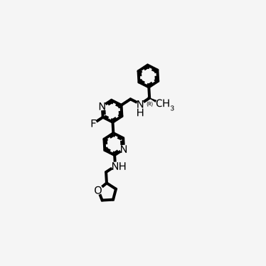 C[C@@H](NCc1cnc(F)c(-c2ccc(NCC3CCCO3)nc2)c1)c1ccccc1